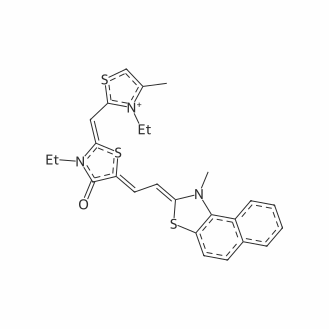 CCn1c(=O)/c(=C/C=C2\Sc3ccc4ccccc4c3N2C)s/c1=C\c1scc(C)[n+]1CC